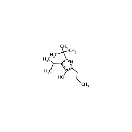 CCCc1nn(C(C)(C)C)c(C(C)C)c1O